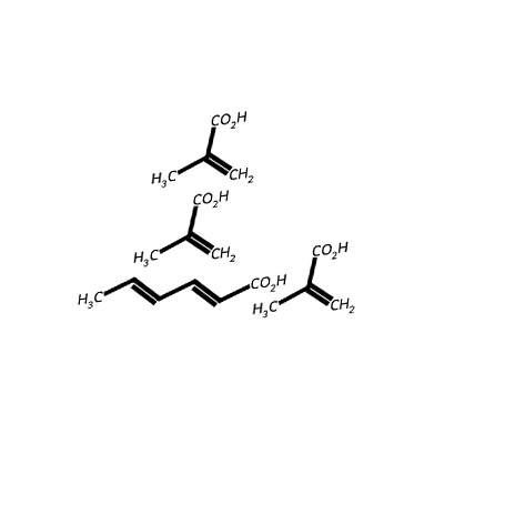 C/C=C/C=C/C(=O)O.C=C(C)C(=O)O.C=C(C)C(=O)O.C=C(C)C(=O)O